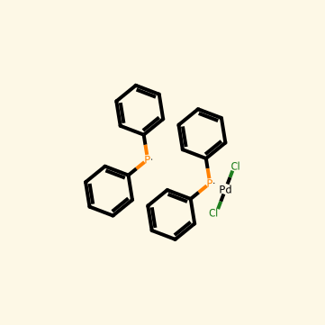 [Cl][Pd][Cl].c1ccc([P]c2ccccc2)cc1.c1ccc([P]c2ccccc2)cc1